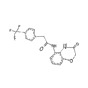 O=C(Cc1ccc(C(F)(F)F)cc1)Nc1cccc2c1NC(=O)CO2